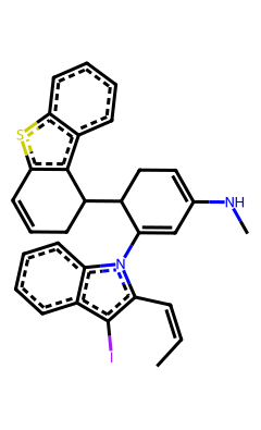 C/C=C\c1c(I)c2ccccc2n1C1=CC(NC)=CCC1C1CC=Cc2sc3ccccc3c21